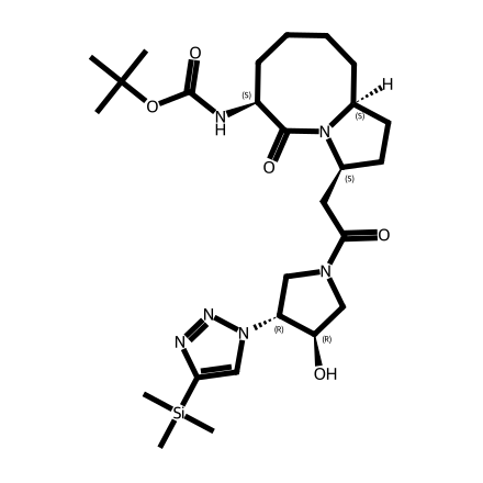 CC(C)(C)OC(=O)N[C@H]1CCCC[C@H]2CC[C@@H](CC(=O)N3C[C@@H](O)[C@H](n4cc([Si](C)(C)C)nn4)C3)N2C1=O